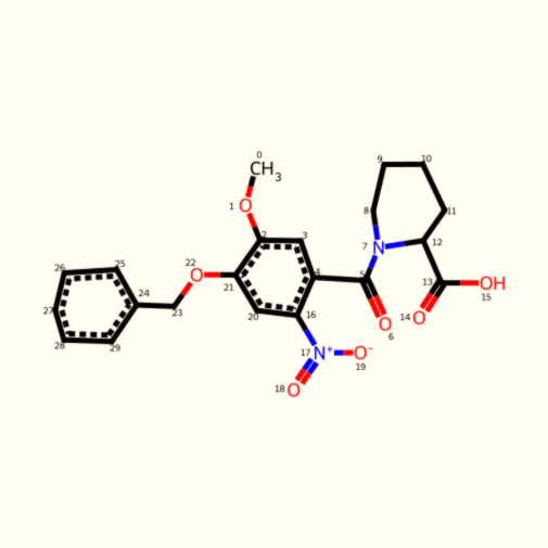 COc1cc(C(=O)N2CCCCC2C(=O)O)c([N+](=O)[O-])cc1OCc1ccccc1